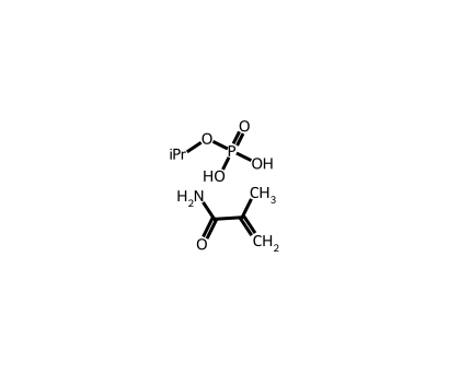 C=C(C)C(N)=O.CC(C)OP(=O)(O)O